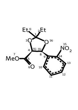 CCC1(CC)O[C@H](C(=O)OC)[C@H](c2ccccc2[N+](=O)[O-])O1